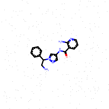 NCC(c1ccccc1)n1cc(NC(=O)c2cccnc2N)cn1